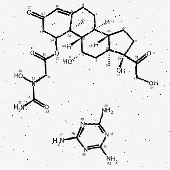 C[C@]12C[C@H](O)[C@H]3[C@@H](CCC4=CC(=O)CC(OC(=O)CN(O)C(N)=O)[C@@]43C)[C@@H]1CC[C@]2(O)C(=O)CO.Nc1nc(N)nc(N)n1